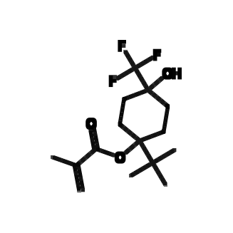 C=C(C)C(=O)OC1(C(C)(C)C)CCC(O)(C(F)(F)F)CC1